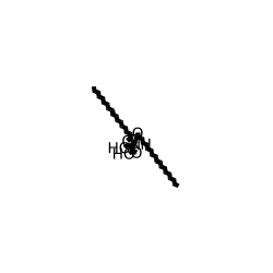 CCCCCCCCC=CCCCCCCCC(=O)P(NC(CO)C(=O)O)C(=O)CCCCCCCC=CCCCCCCCC